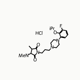 CNC1C(=O)N(CCCN2CCN(c3cccc(F)c3OC(C)C)CC2)C(=O)C1C.Cl